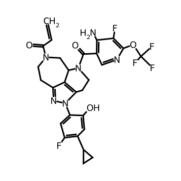 C=CC(=O)N1CCc2nn(-c3cc(F)c(C4CC4)cc3O)c3c2C(C1)N(C(=O)c1cnc(OC(F)(F)F)c(F)c1N)CC3